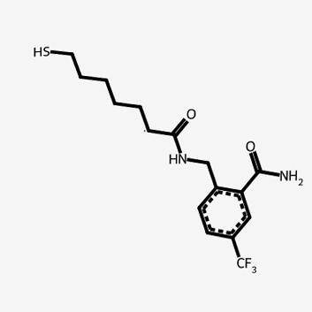 NC(=O)c1cc(C(F)(F)F)ccc1CNC(=O)[CH]CCCCCS